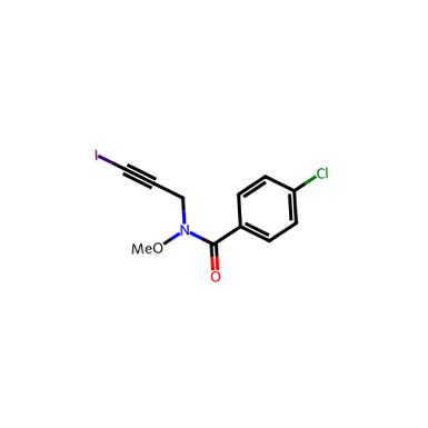 CON(CC#CI)C(=O)c1ccc(Cl)cc1